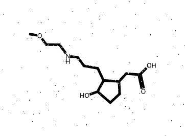 COCCNCCCC1C(O)CCC1CC(=O)O